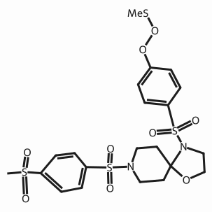 CSOOc1ccc(S(=O)(=O)N2CCOC23CCN(S(=O)(=O)c2ccc(S(C)(=O)=O)cc2)CC3)cc1